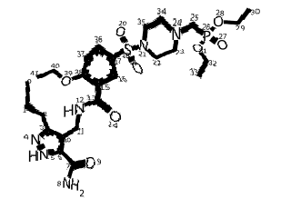 CCCc1n[nH]c(C(N)=O)c1CNC(=O)c1cc(S(=O)(=O)N2CCN(CP(=O)(OCC)OCC)CC2)ccc1OCC